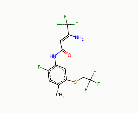 Cc1cc(F)c(NC(=O)C=C(N)C(F)(F)F)cc1SCC(F)(F)F